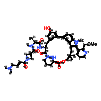 CCn1c(-c2cccnc2COC)c2c3cc(ccc31)-c1cc(O)cc(c1)C[C@H](NC(=O)[C@H](C(C)C)N(C)C(=O)C1CN(C(=O)/C=C/CN(C)C)C1)C(=O)N1CCC[C@@](O)(N1)C(=O)OCC(C)(C)C2